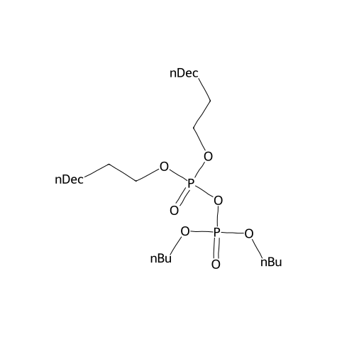 CCCCCCCCCCCCOP(=O)(OCCCCCCCCCCCC)OP(=O)(OCCCC)OCCCC